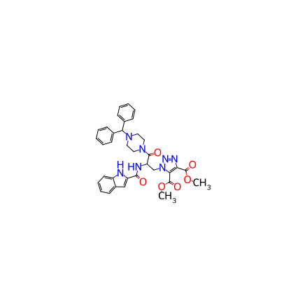 COC(=O)c1nnn(CC(NC(=O)c2cc3ccccc3[nH]2)C(=O)N2CCN(C(c3ccccc3)c3ccccc3)CC2)c1C(=O)OC